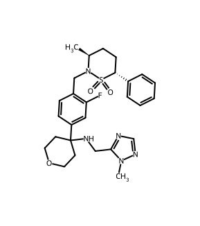 C[C@H]1CC[C@H](c2ccccc2)S(=O)(=O)N1Cc1ccc(C2(NCc3ncnn3C)CCOCC2)cc1F